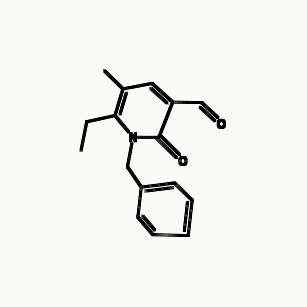 CCc1c(C)cc(C=O)c(=O)n1Cc1ccccc1